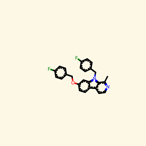 Cc1nccc2c3ccc(OCc4ccc(F)cc4)cc3n(Cc3ccc(F)cc3)c12